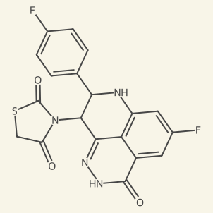 O=C1CSC(=O)N1C1c2n[nH]c(=O)c3cc(F)cc(c23)NC1c1ccc(F)cc1